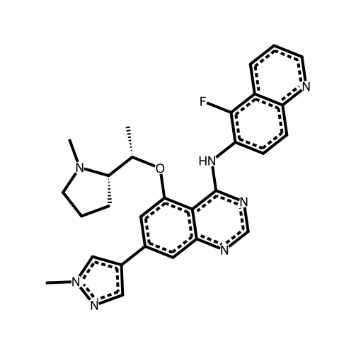 C[C@H](Oc1cc(-c2cnn(C)c2)cc2ncnc(Nc3ccc4ncccc4c3F)c12)[C@@H]1CCCN1C